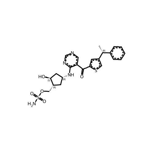 C[C@H](c1ccccc1)c1csc(C(=O)c2cncnc2N[C@@H]2C[C@H](COS(N)(=O)=O)[C@@H](O)C2)c1